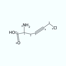 NC(CC#CCCl)C(=O)O